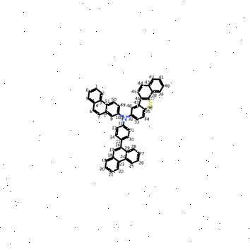 c1ccc2c(c1)ccc1cc(N(c3ccc(-c4cc5ccccc5c5ccccc45)cc3)c3ccc4sc5c6ccccc6ccc5c4c3)ccc12